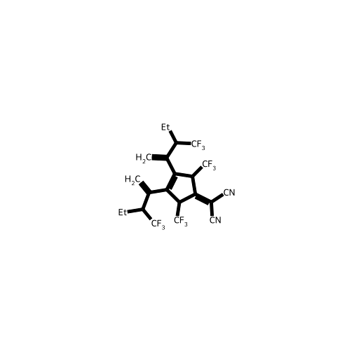 C=C(C1=C(C(=C)C(CC)C(F)(F)F)C(C(F)(F)F)C(=C(C#N)C#N)C1C(F)(F)F)C(CC)C(F)(F)F